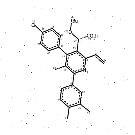 C=Cc1nc(-c2ccc(C)c(C)c2)c(C)c(-c2ccc(Cl)cc2)c1[C@H](OC(C)(C)C)C(=O)O